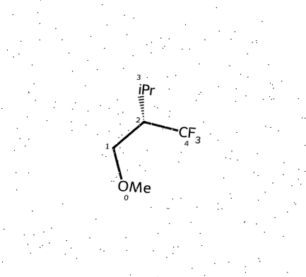 COC[C@H](C(C)C)C(F)(F)F